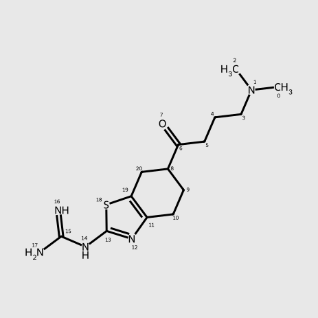 CN(C)CCCC(=O)C1CCc2nc(NC(=N)N)sc2C1